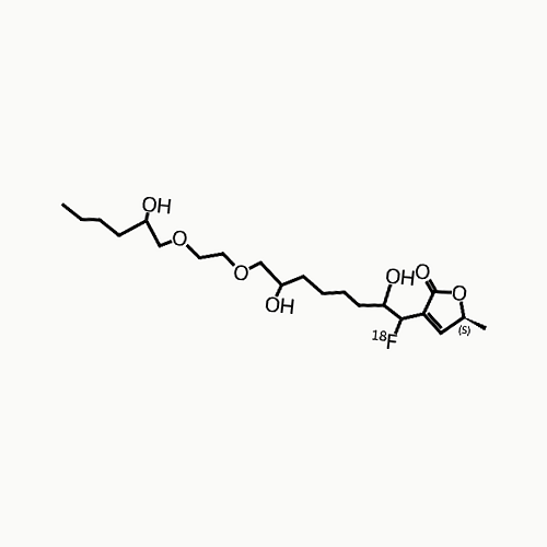 CCCCC(O)COCCOCC(O)CCCCC(O)C([18F])C1=C[C@H](C)OC1=O